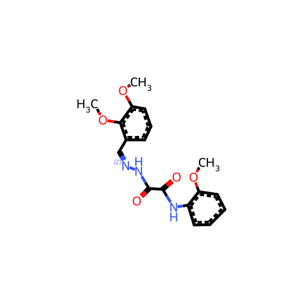 COc1ccccc1NC(=O)C(=O)N/N=C\c1cccc(OC)c1OC